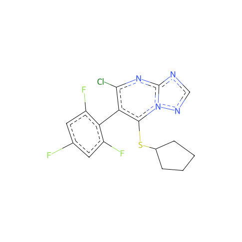 Fc1cc(F)c(-c2c(Cl)nc3ncnn3c2SC2CCCC2)c(F)c1